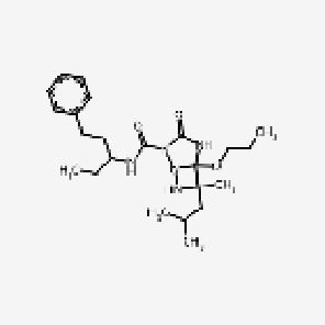 CCCOC12NC(=O)N(C(=O)NC(CC)CCc3ccccc3)N1NC2(C)CC(C)C